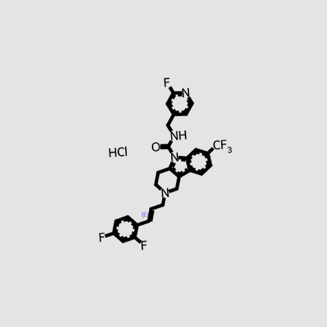 Cl.O=C(NCc1ccnc(F)c1)n1c2c(c3ccc(C(F)(F)F)cc31)CN(C/C=C/c1ccc(F)cc1F)CC2